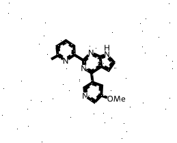 COc1cncc(-c2nc(-c3cccc(C)n3)nc3[nH]ccc23)c1